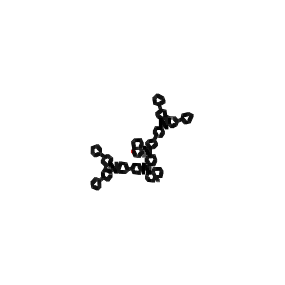 CC12C=CC=CC1=C(N(c1ccc(-c3ccc(-n4c5ccc(-c6ccccc6)cc5c5cc(-c6ccccc6)ccc54)cc3)cc1)c1cccc(N(c3ccc(-c4ccc(-n5c6ccc(-c7ccccc7)cc6c6cc(-c7ccccc7)ccc65)cc4)cc3)c3cccc4ccccc34)c1)C=CC2